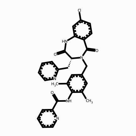 Cc1cc(CN2C(=O)c3ccc(Cl)cc3NC(=O)[C@H]2Cc2ccccn2)cc(C)c1NC(=O)c1ccccn1